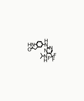 CC(C)Nc1nc(Nc2ccc3c(c2)CC(=O)N3)ncc1C(F)(F)F